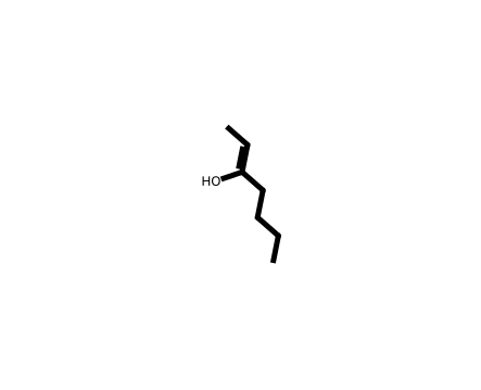 CC=C(O)CCCC